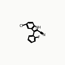 N#Cc1[nH]c2ccc(Cl)cc2c1-c1ccccc1F